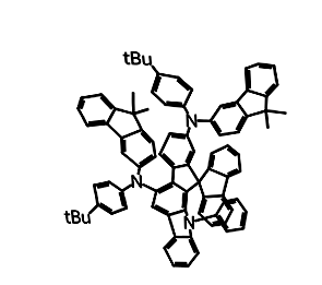 CC(C)(C)c1ccc(N(c2ccc3c(c2)-c2ccccc2C3(C)C)c2ccc3c(c2)C2(c4ccccc4-c4ccccc42)c2c-3c(N(c3ccc(C(C)(C)C)cc3)c3ccc4c(c3)-c3ccccc3C4(C)C)cc3c4ccccc4n(-c4ccccc4)c23)cc1